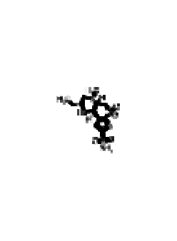 CC[C@H]1CN(C)[C@@H]2CS(=O)(=O)c3sc(S(N)(=O)=O)cc3[C@H]2N1